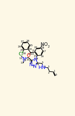 C=CCCNCc1nnc(CN(C)C)n1-c1ccc([N+](=O)[O-])cc1C(=O)c1ccccc1Cl